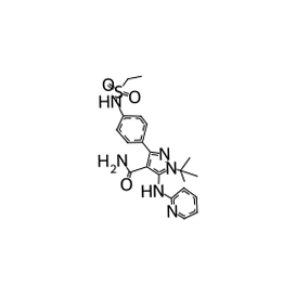 CCS(=O)(=O)Nc1ccc(-c2nn(C(C)(C)C)c(Nc3ccccn3)c2C(N)=O)cc1